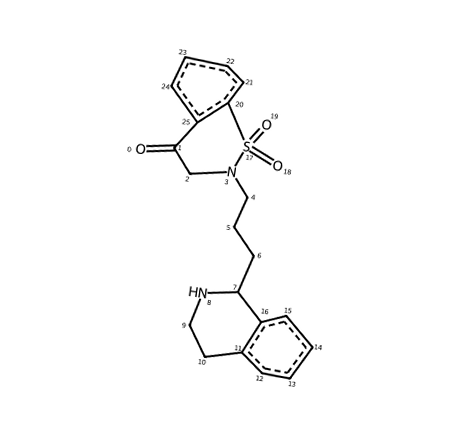 O=C1CN(CCCC2NCCc3ccccc32)S(=O)(=O)c2ccccc21